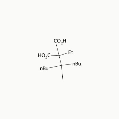 CCCCC(C)(CCCC)C(CC)(C(=O)O)C(=O)O